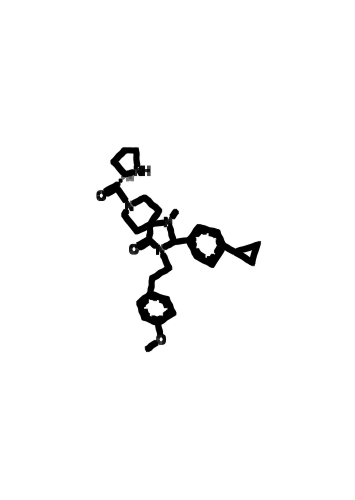 COc1ccc(CCN2C(=O)C3(CCN(C(=O)[C@@H]4CCCN4)CC3)N(C)C2c2ccc(C3CC3)cc2)cc1